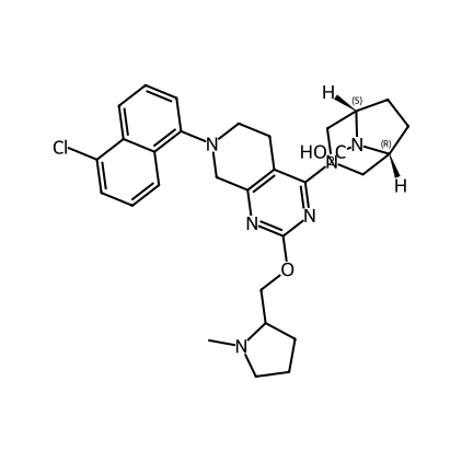 CN1CCCC1COc1nc2c(c(N3C[C@H]4CC[C@@H](C3)N4C(=O)O)n1)CCN(c1cccc3c(Cl)cccc13)C2